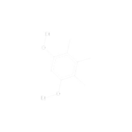 CCOc1cc(OCC)c(C)c(C)c1C